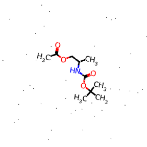 CC(=O)OCC(C)NC(=O)OC(C)(C)C